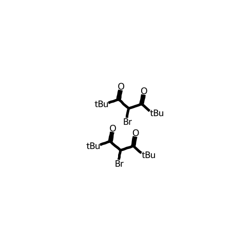 CC(C)(C)C(=O)C(Br)C(=O)C(C)(C)C.CC(C)(C)C(=O)C(Br)C(=O)C(C)(C)C